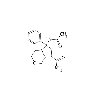 CC(=O)NC(CCC(N)=O)(c1ccccc1)N1CCOCC1